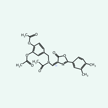 CC(=O)Oc1ccc(CN(/C=C2/N=C(c3ccc(C)c(C)c3)OC2=O)C(C)=O)cc1OC(C)=O